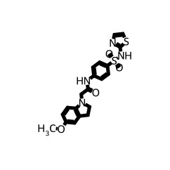 COc1ccc2c(c1)CCN2CC(=O)Nc1ccc(S(=O)(=O)Nc2nccs2)cc1